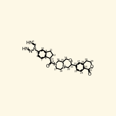 N=CN(N=N)c1ccc2c(c1)CCC2C(=O)N1CCN2CC(c3ccc4c(c3)CCOC4=O)OCC2C1